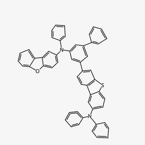 C1=C=C(N(c2ccccc2)c2ccc3sc4cc(-c5cc(-c6ccccc6)cc(N(c6ccccc6)c6ccc7oc8ccccc8c7c6)c5)ccc4c3c2)C=CC=1